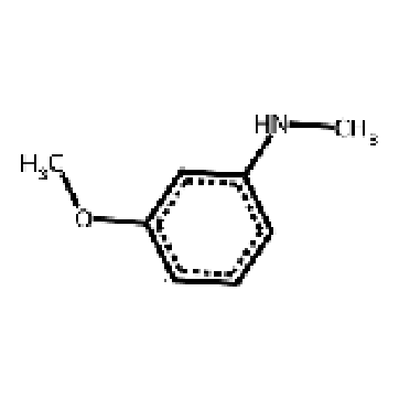 CNc1cc[c]c(OC)c1